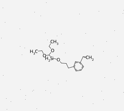 C=Cc1cccc(CCCO[SiH2]C(OCC)OCC)c1